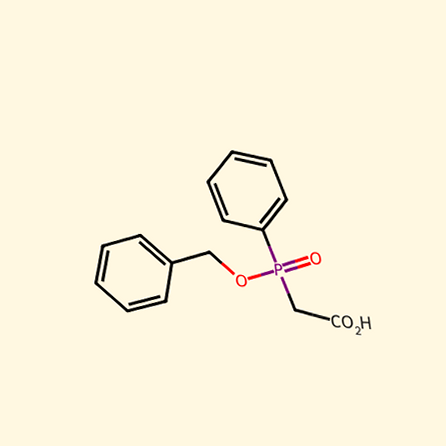 O=C(O)CP(=O)(OCc1ccccc1)c1ccccc1